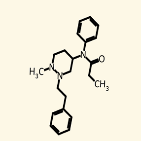 CCC(=O)N(c1ccccc1)C1CCN(C)N(CCc2ccccc2)C1